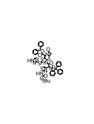 CC(C)(C)OC(=O)Nc1nc(/C(=N/OC(c2ccccc2)(c2ccccc2)c2ccccc2)C(=O)NC2SC3CC(=O)N3C(C(=O)OC(c3ccccc3)c3ccccc3)=C2SCSc2nc[nH]n2)cs1